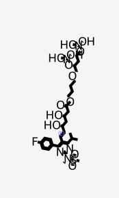 CC(C)c1nc(N(C)S(C)(=O)=O)nc(-c2ccc(F)cc2)c1/C=C/C(O)CC(O)CC(=O)OCCCCOCC(CCON(O)O)ON(O)O